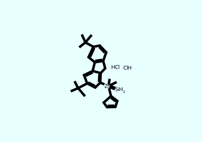 CC(C)(C)c1ccc2c(c1)-c1cc(C(C)(C)C)c[c]([Zr]([CH3])([CH3])(=[SiH2])[C]3=CC=CC3)c1C2.Cl.Cl